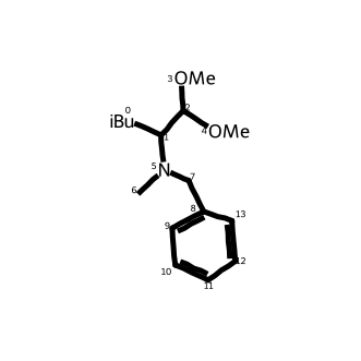 CCC(C)C(C(OC)OC)N(C)Cc1ccccc1